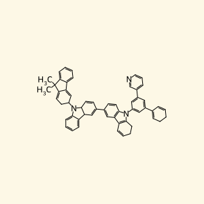 CC1(C)C2=CCC(N3c4ccccc4C4C=C(c5ccc6c(c5)c5c(n6-c6cc(C7=CCCC=C7)cc(-c7cccnc7)c6)CCC=C5)C=CC43)C=C2c2ccccc21